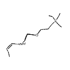 C/C=C\NCOCC[Si](C)(C)C